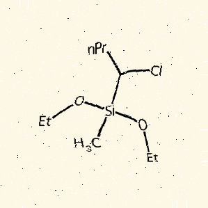 CCCC(Cl)[Si](C)(OCC)OCC